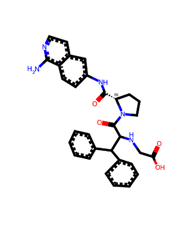 Nc1nccc2cc(NC(=O)[C@@H]3CCCN3C(=O)C(NCC(=O)O)C(c3ccccc3)c3ccccc3)ccc12